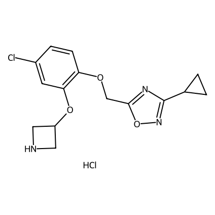 Cl.Clc1ccc(OCc2nc(C3CC3)no2)c(OC2CNC2)c1